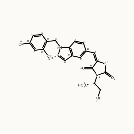 O=C(O)[C@@H](CO)N1C(=O)SC(=Cc2ccc3c(cnn3Cc3ccc(Cl)cc3C(F)(F)F)c2)C1=O